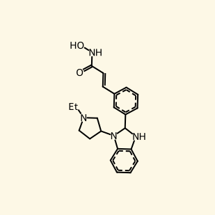 CCN1CCC(N2c3ccccc3NC2c2cccc(/C=C/C(=O)NO)c2)C1